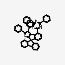 c1ccc(-c2nc(-c3ccccc3)nc(-c3cccc4c3-c3c(sc(-c5ccccc5)c3-c3ccccc3)C43c4ccccc4-c4ccccc43)n2)cc1